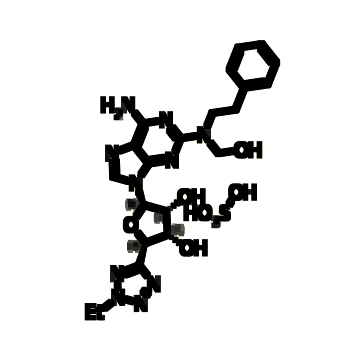 CCn1nnc([C@H]2O[C@@H](n3cnc4c(N)nc(N(CO)CCc5ccccc5)nc43)[C@H](O)[C@@H]2O)n1.O=S(=O)(O)O